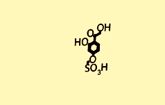 O=C(CO)c1ccc(OCS(=O)(=O)O)cc1O